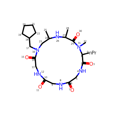 CCCC1C(=O)NCC(=O)NCC(=O)NCC(=O)N(CC2CCCC2)CC(C)NC(C)C(=O)N1C